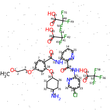 COCCOc1ccc(C(=O)Nc2cccnc2C(=O)Nc2ccc(Cl)cn2)c(OC2CCC(N)CC2)c1.O=C(O)C(F)(F)F.O=C(O)C(F)(F)F.O=C(O)C(F)(F)F